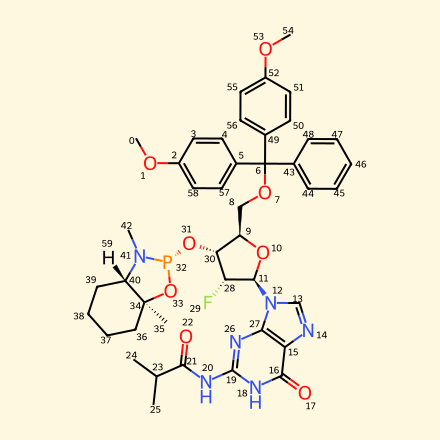 COc1ccc(C(OC[C@H]2O[C@@H](n3cnc4c(=O)[nH]c(NC(=O)C(C)C)nc43)[C@H](F)[C@@H]2O[P@]2O[C@@]3(C)CCCC[C@@H]3N2C)(c2ccccc2)c2ccc(OC)cc2)cc1